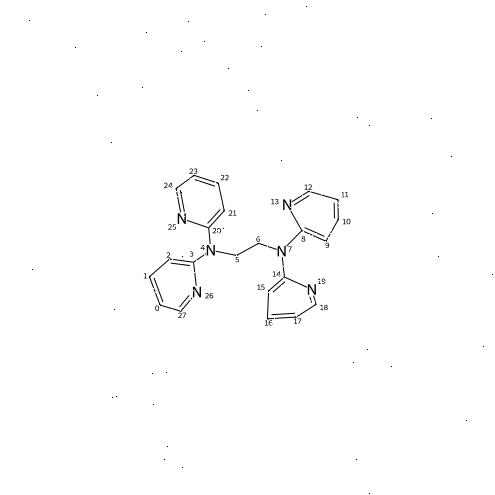 c1ccc(N(CCN(c2ccccn2)c2ccccn2)c2ccccn2)nc1